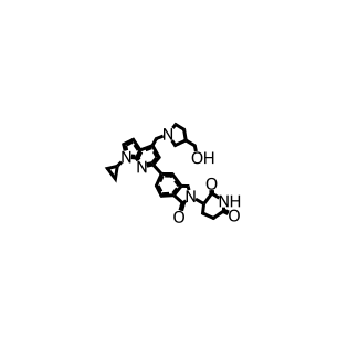 O=C1CCC(N2Cc3cc(-c4cc(CN5CCC(CO)C5)c5ccn(C6CC6)c5n4)ccc3C2=O)C(=O)N1